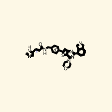 O=C(/C=C/c1cnc[nH]1)NCC12CCC(c3cc4nc(-c5cccc6c5C=NC6)nc(N5CCOCC5)c4s3)(CC1)OC2